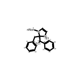 CCCCCCCCCN1C=CN(CC)C1(Cc1ccccc1)C(CC)c1ccccc1